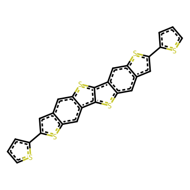 c1csc(-c2cc3cc4sc5c6cc7sc(-c8cccs8)cc7cc6sc5c4cc3s2)c1